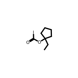 CCC1(OC(=O)I)CCCC1